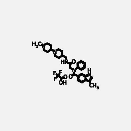 Cc1c[nH]c2cc(C(=O)N(CC(=O)NCC3CCN(C4CCN(C)CC4)CC3)c3ccccc3)ccc12.O=C(O)C(F)(F)F